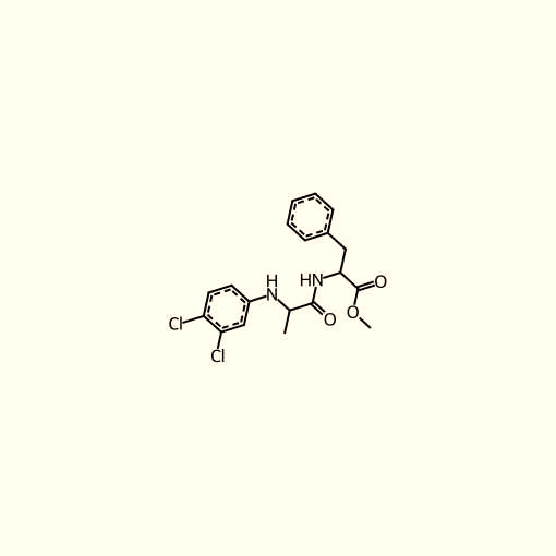 COC(=O)C(Cc1ccccc1)NC(=O)C(C)Nc1ccc(Cl)c(Cl)c1